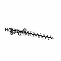 CCCCCCCC/C=C/CCCCCCCC(=O)OCC(O)COCC(CO)N=O